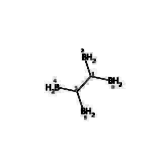 BC(B)C(B)B